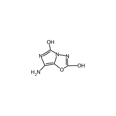 Nc1nc(O)n2nc(O)oc12